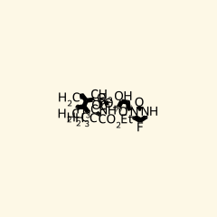 C=CC(C=C)C(C=C)C(=C)OP(=O)(NC(C)(C)C(=O)OCC)OC[C@H]1O[C@@H](N2C=C(F)CNC2=O)CC1O